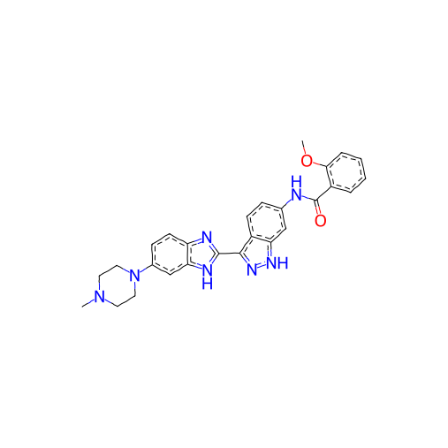 COc1ccccc1C(=O)Nc1ccc2c(-c3nc4ccc(N5CCN(C)CC5)cc4[nH]3)n[nH]c2c1